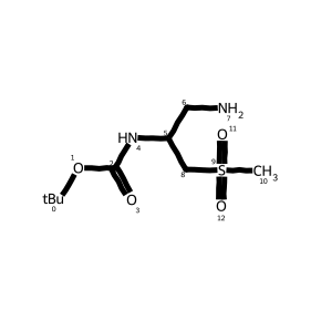 CC(C)(C)OC(=O)NC(CN)CS(C)(=O)=O